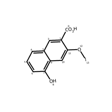 O=C(O)c1cc2cccc(O)c2cc1OI